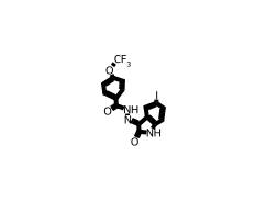 O=C1Nc2ccc(I)cc2/C1=N\NC(=O)c1ccc(OC(F)(F)F)cc1